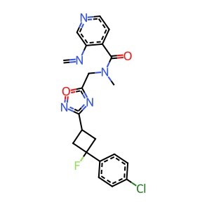 C=Nc1cnccc1C(=O)N(C)Cc1nc(C2CC(F)(c3ccc(Cl)cc3)C2)no1